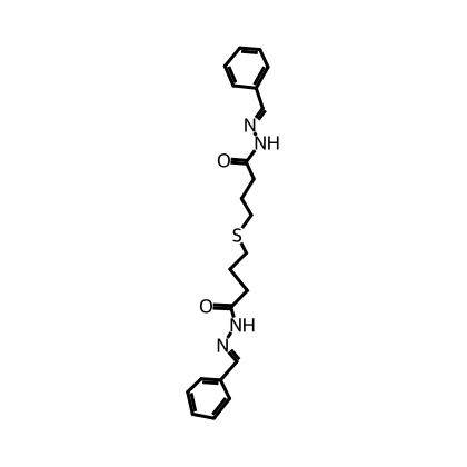 O=C(CCCSCCCC(=O)N/N=C/c1ccccc1)N/N=C/c1ccccc1